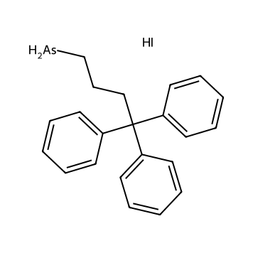 I.[AsH2]CCCC(c1ccccc1)(c1ccccc1)c1ccccc1